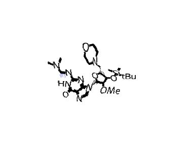 COC1C(O[Si](C)(C)C(C)(C)C)[C@@H](CN2CCOCC2)O[C@H]1n1cnc2c(=O)[nH]c(/N=C/N(C)C)nc21